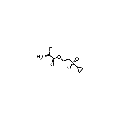 C=C(F)C(=O)OCCS(=O)(=O)C1CC1